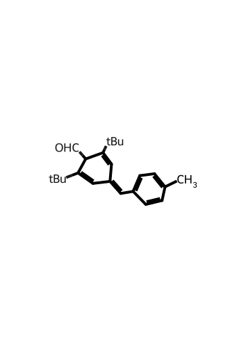 Cc1ccc(C=C2C=C(C(C)(C)C)C(C=O)C(C(C)(C)C)=C2)cc1